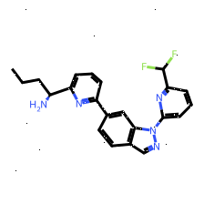 CCC[C@H](N)c1cccc(-c2ccc3cnn(-c4cccc(C(F)F)n4)c3c2)n1